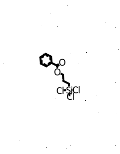 O=C(OCCC[Si](Cl)(Cl)Cl)c1ccccc1